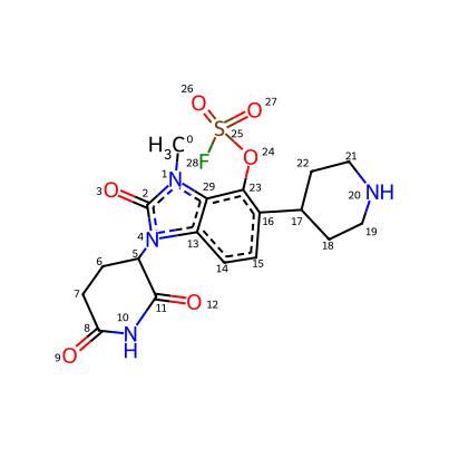 Cn1c(=O)n(C2CCC(=O)NC2=O)c2ccc(C3CCNCC3)c(OS(=O)(=O)F)c21